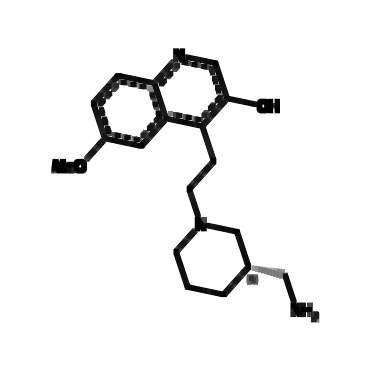 COc1ccc2ncc(O)c(CCN3CCC[C@@H](CN)C3)c2c1